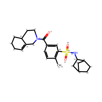 Cc1ccc(C(=O)N2CCC3CCCC=C3C2)cc1S(=O)(=O)NC1CC2CCC1C2